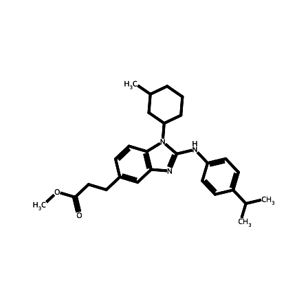 COC(=O)CCc1ccc2c(c1)nc(Nc1ccc(C(C)C)cc1)n2C1CCCC(C)C1